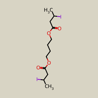 CC(I)CC(=O)OCCCCOC(=O)CC(C)I